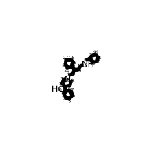 OC1(c2ccccc2)CCN(CCC(CCNCc2ccccc2)c2ccccc2)CC1